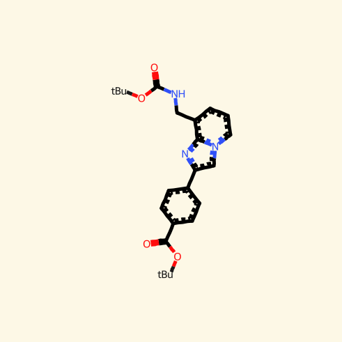 CC(C)(C)OC(=O)NCc1cccn2cc(-c3ccc(C(=O)OC(C)(C)C)cc3)nc12